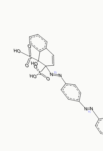 O=S(=O)(O)C1(/N=N/c2ccc(/N=N/c3ccccc3)cc2)C=Cc2ccccc2C1(O)S(=O)(=O)O